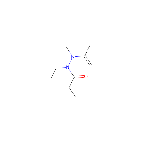 C=C(C)N(C)N(CC)C(=O)CC